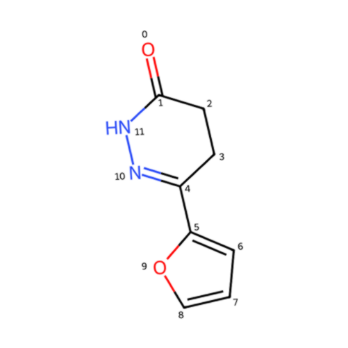 O=C1CCC(c2ccco2)=NN1